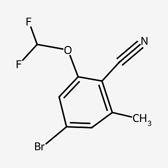 Cc1cc(Br)cc(OC(F)F)c1C#N